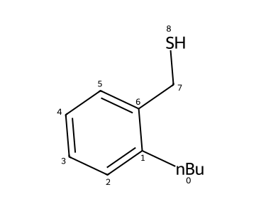 CCCCc1ccccc1CS